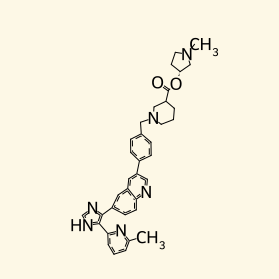 Cc1cccc(-c2[nH]cnc2-c2ccc3ncc(-c4ccc(CN5CCCC(C(=O)O[C@@H]6CCN(C)C6)C5)cc4)cc3c2)n1